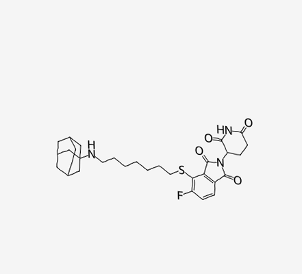 O=C1CCC(N2C(=O)c3ccc(F)c(SCCCCCCCNC45CC6CC(CC(C6)C4)C5)c3C2=O)C(=O)N1